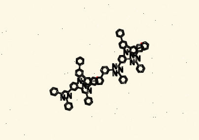 c1ccc(-c2ccc3c(c2)c2cc(-c4cccc(-c5cccc(-c6nc(-c7ccccc7)nc(-c7ccc(-n8c9ccc(-c%10ccccc%10)cc9c9cc(-c%10ccccc%10)ccc98)c(-c8nc(-c9ccccc9)nc(-c9ccccc9)n8)c7)n6)c5)c4)ccc2n3-c2ccc(-c3cc(-c4ccccc4)nc(-c4ccccc4)n3)cc2-c2cc(-c3ccccc3)nc(-c3ccccc3)n2)cc1